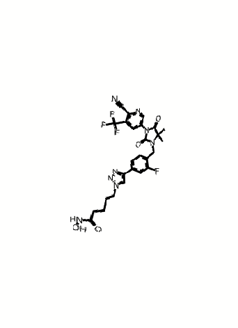 CC1(C)C(=O)N(c2cnc(C#N)c(C(F)(F)F)c2)C(=O)N1Cc1ccc(-c2cn(CCCCC(=O)NO)nn2)cc1F